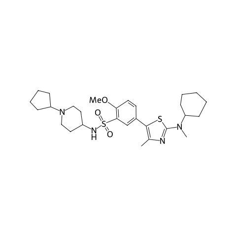 COc1ccc(-c2sc(N(C)C3CCCCC3)nc2C)cc1S(=O)(=O)NC1CCN(C2CCCC2)CC1